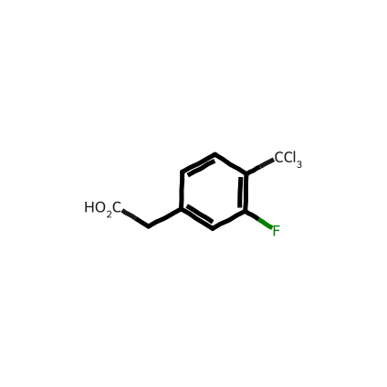 O=C(O)Cc1ccc(C(Cl)(Cl)Cl)c(F)c1